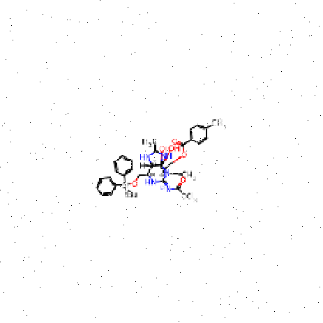 C=C1N[C@H]2[C@H](CO[Si](c3ccccc3)(c3ccccc3)C(C)(C)C)N/C(=N/C(=O)C(Cl)(Cl)Cl)N3[C@@H](C)C(OC(=O)c4ccc(C)cc4)C(O)(O)C23N1